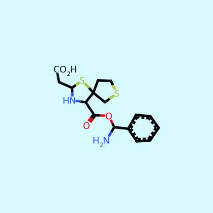 NC(OC(=O)C1NC(CC(=O)O)SC12CCSC2)c1ccccc1